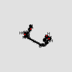 Cc1ccc(NC(=O)c2ccc(CN3CCN(C(=O)CCCCCCCCCCCCCCC(=O)NC(C(=O)N4C[C@H](O)C[C@H]4C(=O)NCc4ccc(-c5scnc5C)cc4)C(C)(C)C)CC3)cc2)cc1Nc1nccc(-c2cccnc2)n1